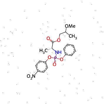 COC(C)COC(=O)[C@@H](C)NP(=O)(Oc1ccccc1)Oc1ccc([N+](=O)[O-])cc1